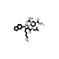 COCCCCc1c(C(=O)N(CC(C)C)[C@H]2C[C@@H](C(N)=O)CN(C(=O)O)C2)nnn1-c1ccc2c(c1)CCC2